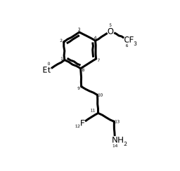 CCc1ccc(OC(F)(F)F)cc1CCC(F)CN